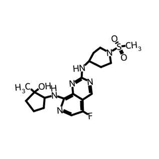 CC1(O)CCCC1Nc1ncc(F)c2cnc(NC3CCN(S(C)(=O)=O)CC3)nc12